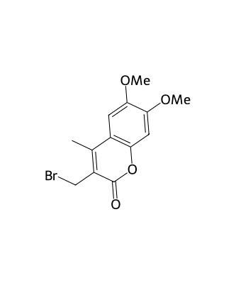 COc1cc2oc(=O)c(CBr)c(C)c2cc1OC